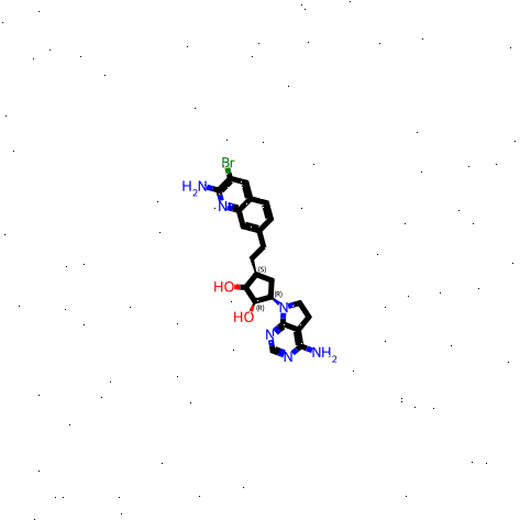 Nc1nc2cc(CC[C@H]3C[C@@H](N4CCc5c(N)ncnc54)[C@@H](O)C3O)ccc2cc1Br